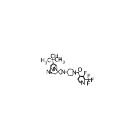 CC(C)(C)c1cnn(C2(CC#N)CN(C3CCN(C(=O)c4ccnc(C(F)(F)F)c4F)CC3)C2)c1